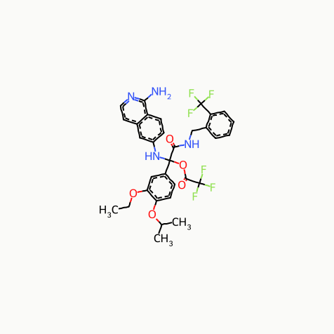 CCOc1cc(C(Nc2ccc3c(N)nccc3c2)(OC(=O)C(F)(F)F)C(=O)NCc2ccccc2C(F)(F)F)ccc1OC(C)C